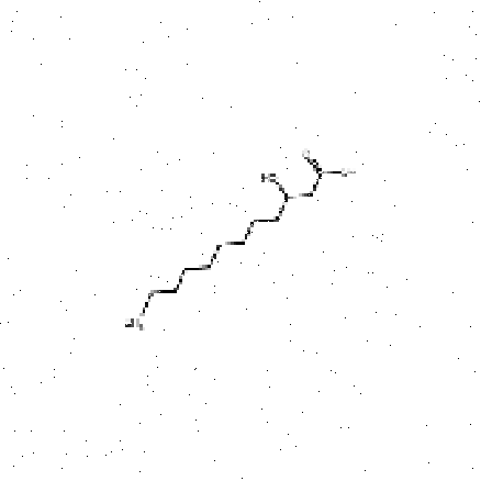 C.CCCCCCCCCC(O)CC(=O)O